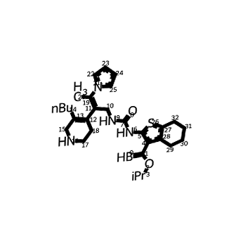 B=C(OC(C)C)c1c(NC(=O)NC/C(C2=C(CCCC)CNCC2)=C(/C)n2cccc2)sc2c1CCCC2